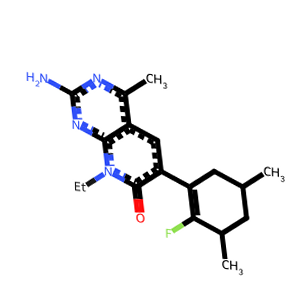 CCn1c(=O)c(C2=C(F)C(C)CC(C)C2)cc2c(C)nc(N)nc21